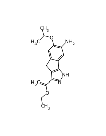 C=C(OCC)c1n[nH]c2c1Cc1cc(OC(C)C)c(N)cc1-2